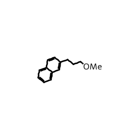 [CH2]OCCCc1ccc2ccccc2c1